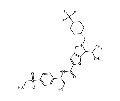 CCS(=O)(=O)c1ccc([C@H](CO)NC(=O)c2cc3c(s2)C(C(C)C)N(C[C@H]2CC[C@H](C(F)(F)F)CC2)C3)cc1